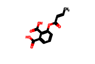 CC=CC(=O)Oc1cccc(C(=O)O)c1C(=O)O